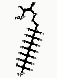 [CH2]C(C)C(OCCC(F)(F)C(F)(F)C(F)(F)C(F)(F)C(F)(F)C(F)(F)C(F)(F)C(F)(F)F)=C(C)C(=O)O